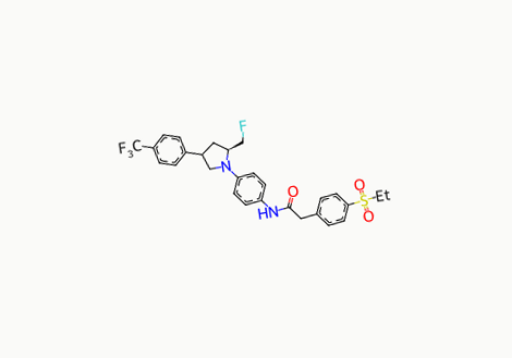 CCS(=O)(=O)c1ccc(CC(=O)Nc2ccc(N3CC(c4ccc(C(F)(F)F)cc4)C[C@H]3CF)cc2)cc1